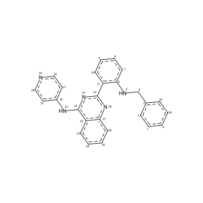 c1ccc(CNc2ccccc2-c2nc(Nc3ccncc3)c3ccccc3n2)cc1